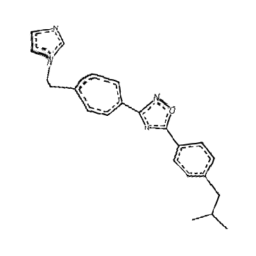 CC(C)Cc1ccc(-c2nc(-c3ccc(Cn4ccnc4)cc3)no2)cc1